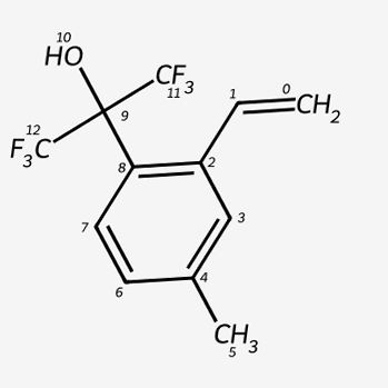 C=Cc1cc(C)ccc1C(O)(C(F)(F)F)C(F)(F)F